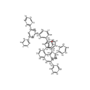 c1ccc(-c2cc(-c3ccccc3)nc(-c3cccc(-c4cccc(-c5cccc6cc(-c7ccccc7)n7nc(-c8ccccc8)c(-c8ccccc8)c7c56)c4)c3)n2)cc1